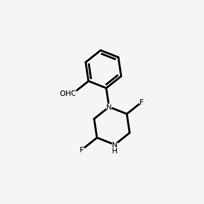 O=Cc1ccccc1N1CC(F)NCC1F